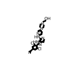 N#Cc1cc(Cl)c(-c2nc3ccnc(Nc4ccc(N5CCN(CCO)CC5)cn4)c3[nH]2)c(Cl)c1